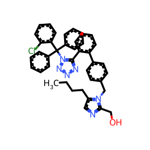 CCCCc1cnc(CO)n1Cc1ccc(-c2ccccc2-c2nnnn2C(c2ccccc2)(c2ccccc2)c2ccccc2Cl)cc1